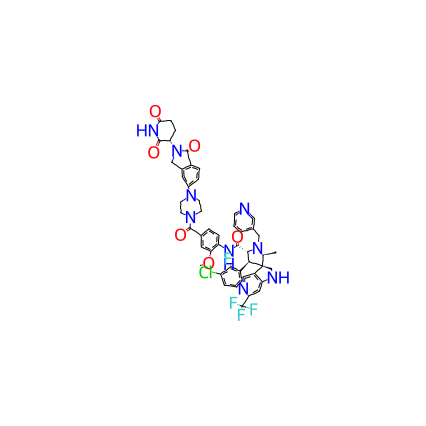 COc1cc(C(=O)N2CCN(c3ccc4c(c3)CN([C@H]3CCC(=O)NC3=O)C4=O)CC2)ccc1NC(=O)[C@H]1[C@H](c2cccc(Cl)c2F)[C@]2(CNc3cc(C(F)(F)F)ncc32)[C@H](C)N1Cc1cccnc1